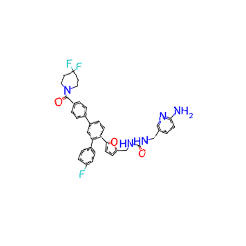 Nc1ccc(CNC(=O)NCc2ccc(-c3ccc(-c4ccc(C(=O)N5CCC(F)(F)CC5)cc4)cc3-c3ccc(F)cc3)o2)cn1